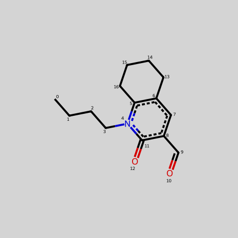 CCCCn1c2c(cc(C=O)c1=O)CCCC2